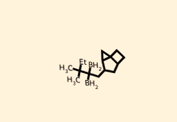 BC(B)(CC1CC2CCC23CC13)C(C)(C)CC